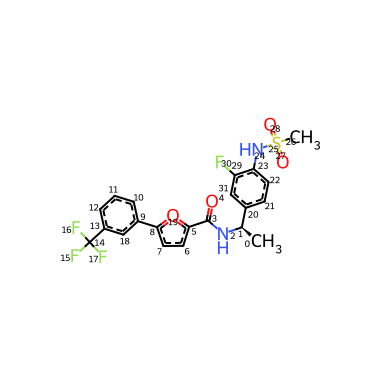 C[C@@H](NC(=O)c1ccc(-c2cccc(C(F)(F)F)c2)o1)c1ccc(NS(C)(=O)=O)c(F)c1